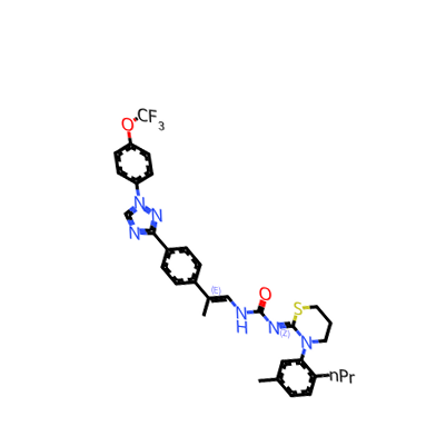 CCCc1ccc(C)cc1N1CCCS/C1=N\C(=O)N/C=C(\C)c1ccc(-c2ncn(-c3ccc(OC(F)(F)F)cc3)n2)cc1